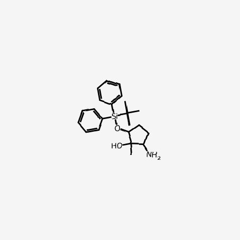 CC1(O)C(N)CCC1O[Si](c1ccccc1)(c1ccccc1)C(C)(C)C